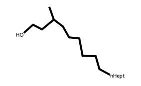 CCCCCCCCCCCCCC(C)CCO